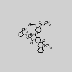 C=CC(=O)N1CCN(C2NC(OC[C@@H]3CCCN3C)NC3C[C@@]4(CCC32)Cc2ccccc2N(C)C4=O)C[C@@H]1CC#N